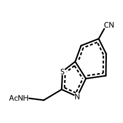 CC(=O)NCc1nc2ccc(C#N)cc2s1